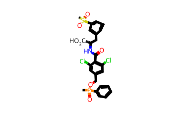 CP(=O)(OCc1cc(Cl)c(C(=O)NC(Cc2cccc(S(C)(=O)=O)c2)C(=O)O)c(Cl)c1)c1ccccc1